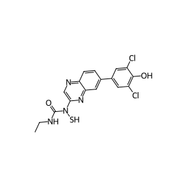 CCNC(=O)N(S)c1cnc2ccc(-c3cc(Cl)c(O)c(Cl)c3)cc2n1